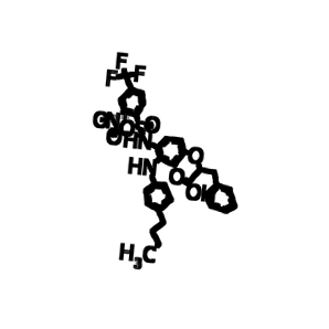 CCCCc1ccc(Nc2cc(OC(Cc3ccccc3)C(=O)O)ccc2NS(=O)(=O)c2ccc(C(F)(F)F)cc2[N+](=O)[O-])cc1